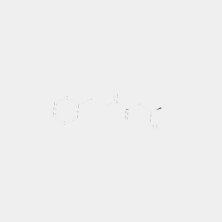 CC[C@@H](O)CC(=O)NOCc1ccccc1